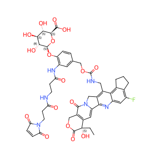 CC[C@@]1(O)C(=O)OCc2c1cc1n(c2=O)Cc2c-1nc1cc(F)c3c(c1c2CNC(=O)OCc1ccc(O[C@@H]2O[C@H](C(=O)O)[C@@H](O)[C@H](O)[C@H]2O)c(NC(=O)CCNC(=O)CCN2C(=O)C=CC2=O)c1)CCC3